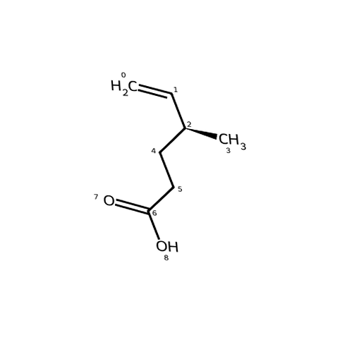 C=C[C@@H](C)CCC(=O)O